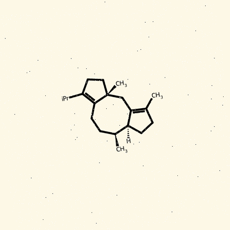 CC1=C2C[C@@]3(C)CCC(C(C)C)=C3CC[C@H](C)[C@@H]2CC1